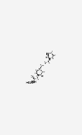 O=C(Cc1ccc(CCCCc2cccnc2)cc1)NO